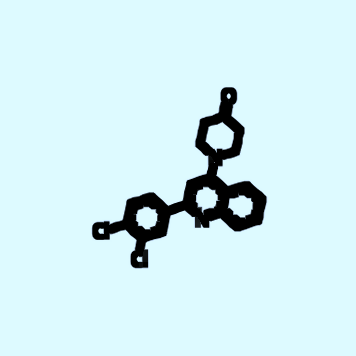 O=C1CCN(c2cc(-c3ccc(Cl)c(Cl)c3)nc3ccccc23)CC1